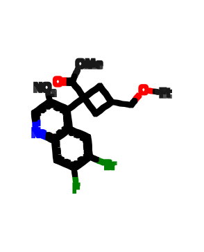 CCOCC1CC(C(=O)OC)(c2c([N+](=O)[O-])cnc3cc(F)c(Br)cc23)C1